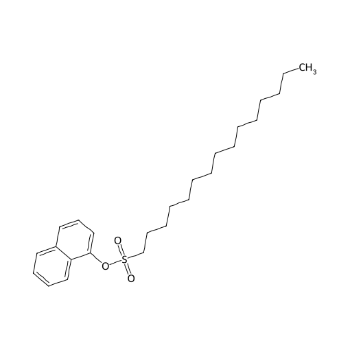 CCCCCCCCCCCCCCCS(=O)(=O)Oc1cccc2ccccc12